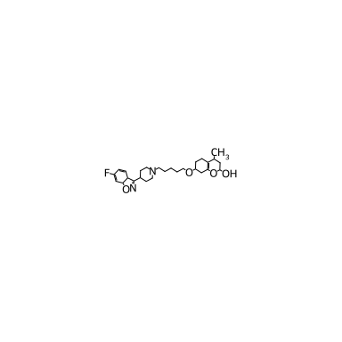 CC1CC(O)OC2=C1CCC(OCCCCCN1CCC(C3=NOC4C=C(F)C=CC34)CC1)C2